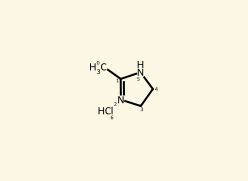 CC1=NCCN1.Cl